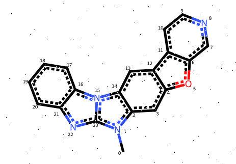 Cn1c2cc3oc4cnccc4c3cc2n2c3ccccc3nc12